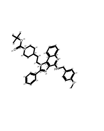 COc1ccc(CNc2nc3ccccc3c3c2nc(-c2ccccc2)n3CCC2CCN(C(=O)OC(C)(C)C)CC2)cc1